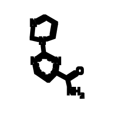 NC(=O)c1ccnc(N2C=CC=NC2)n1